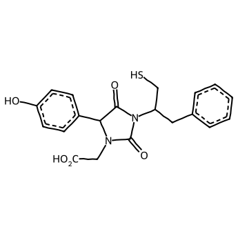 O=C(O)CN1C(=O)N(C(CS)Cc2ccccc2)C(=O)C1c1ccc(O)cc1